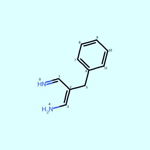 N=C/C(=C\N)Cc1ccccc1